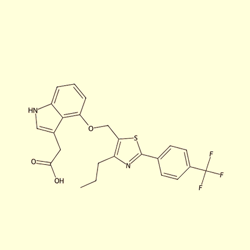 CCCc1nc(-c2ccc(C(F)(F)F)cc2)sc1COc1cccc2[nH]cc(CC(=O)O)c12